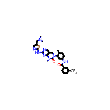 Cc1ccc(NC(=O)c2cccc(C(F)(F)F)c2)cc1N1Cc2cnc(Nc3ncc(CN(C)C)s3)nc2N(C)C1=O